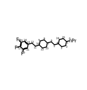 CCCC1CCC(CCC2CCC(CCc3cc(F)c(F)c(F)c3)CC2)CC1